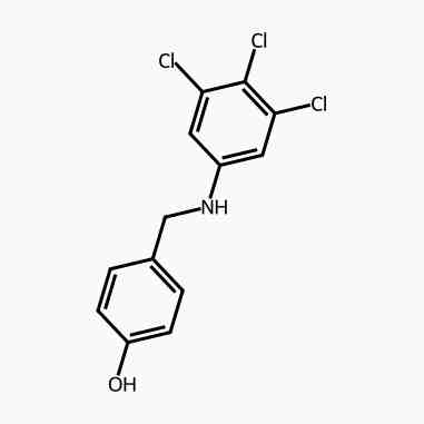 Oc1ccc(CNc2cc(Cl)c(Cl)c(Cl)c2)cc1